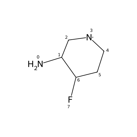 NC1C[N]CCC1F